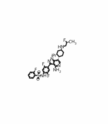 CC(C)n1nc(-c2cc(F)c(NS(=O)(=O)c3ccccc3F)cc2F)c2c(N)ncc([C@H]3CC[C@H](NC[C@H](C)F)CC3)c21